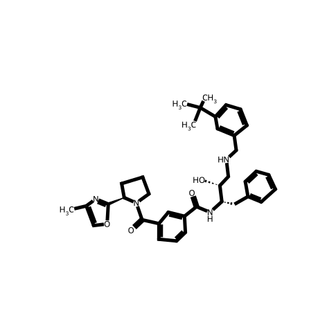 Cc1coc([C@H]2CCCN2C(=O)c2cccc(C(=O)N[C@@H](Cc3ccccc3)[C@H](O)CNCc3cccc(C(C)(C)C)c3)c2)n1